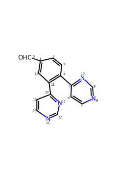 O=Cc1ccc(-c2ccncn2)c(-c2ccncn2)c1